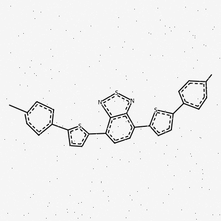 Cc1ccc(-c2ccc(-c3ccc(-c4ccc(-c5ccc(C)cc5)s4)c4nsnc34)s2)cc1